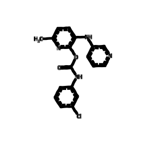 Cc1ccc(Nc2cccnc2)c(OC(=O)Nc2cccc(Cl)c2)n1